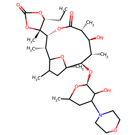 CC[C@H]1OC(=O)O[C@@]1(C)[C@@H]1OC(=O)[C@H](C)[C@@H](O)[C@H](C)[C@@H](O[C@@H]2OC(C)CC(N3CCOCC3)C2O)[C@@]2(C)CC(C)C(O2)[C@@H]1C